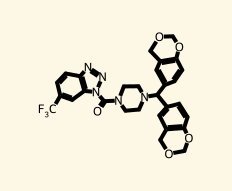 O=C(N1CCN(C(c2ccc3c(c2)COCO3)c2ccc3c(c2)COCO3)CC1)n1nnc2ccc(C(F)(F)F)cc21